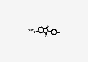 O=COC1CCC2C(=O)N(c3ccc(I)cc3)C(=O)C2C1